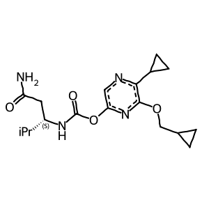 CC(C)[C@H](CC(N)=O)NC(=O)Oc1cnc(C2CC2)c(OCC2CC2)n1